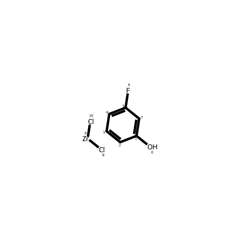 Oc1cccc(F)c1.[Cl][Zr][Cl]